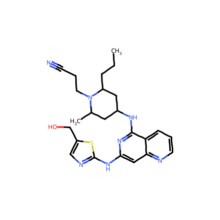 CCCC1CC(Nc2nc(Nc3ncc(CO)s3)cc3ncccc23)CC(C)N1CCC#N